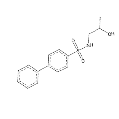 CC(O)CNS(=O)(=O)c1ccc(-c2ccccc2)cc1